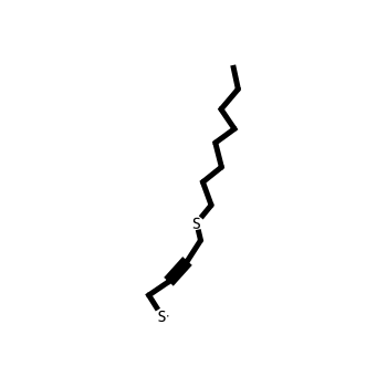 CCCCCCCCSCC#CC[S]